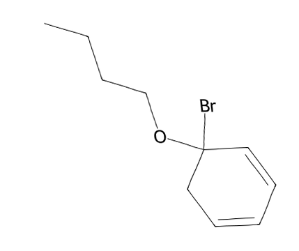 CCCCOC1(Br)C=CC=CC1